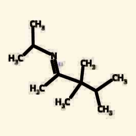 C/C(=N\C(C)C)C(C)(C)C(C)C